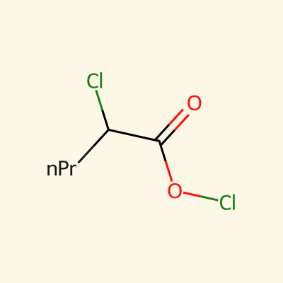 CCCC(Cl)C(=O)OCl